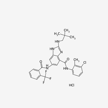 Cc1c(Cl)cccc1NC(=O)c1cc(NC(=O)c2ccccc2C(F)(F)F)cc2[nH]c(NCC(C)(C)C)nc12.Cl